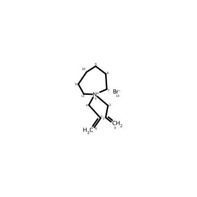 C=CC[N+]1(CC=C)CCCCCC1.[Br-]